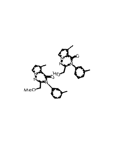 COCc1nn2ccc(C)c2c(=O)n1-c1cccc(C)c1.Cc1cccc(-n2c(CO)nn3ccc(C)c3c2=O)c1